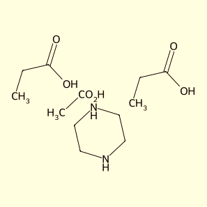 C1CNCCN1.CC(=O)O.CCC(=O)O.CCC(=O)O